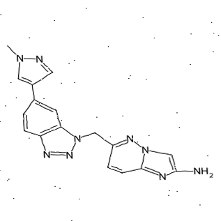 Cn1cc(-c2ccc3nnn(Cc4ccc5nc(N)cn5n4)c3c2)cn1